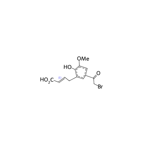 COc1cc(C(=O)CBr)cc(C/C=C/C(=O)O)c1O